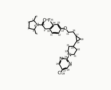 CC1CCC(C)N1C(=O)Cc1ccc(OCCC2CC2C2CCN(c3ncc(Cl)cn3)CC2)cc1F